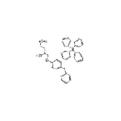 CCCCCCCCCCCCC(O)COc1ccc([I+]c2ccccc2)cc1.c1ccc([B-](c2ccccc2)(c2ccccc2)c2ccccc2)cc1